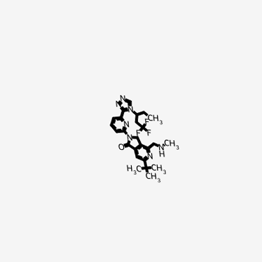 CCC(CC(F)(F)F)n1cnnc1-c1cccc(N2Cc3c(cc(C(C)(C)C)nc3CNC)C2=O)n1